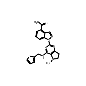 CN1CCc2nc(-n3ncc4c(C(N)=O)cccc43)nc(NCc3cccs3)c21